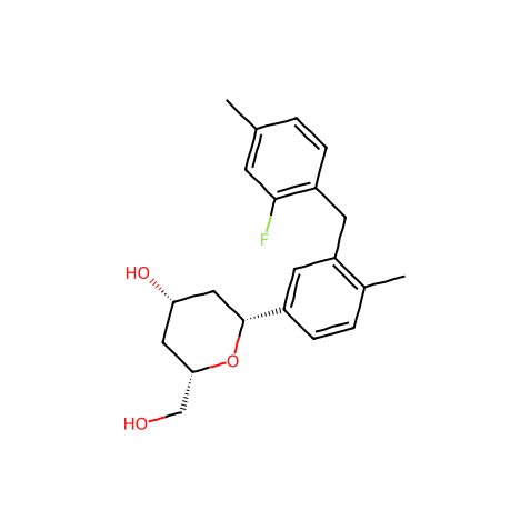 Cc1ccc(Cc2cc([C@H]3C[C@@H](O)C[C@@H](CO)O3)ccc2C)c(F)c1